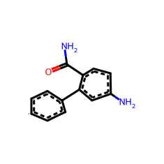 NC(=O)c1ccc(N)cc1-c1cc[c]cc1